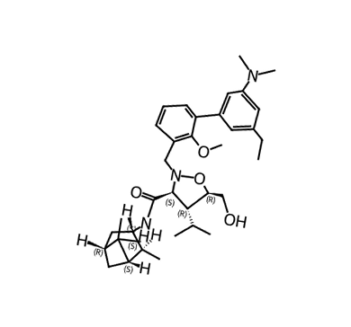 CCc1cc(-c2cccc(CN3O[C@@H](CO)[C@H](C(C)C)[C@H]3C(=O)N[C@H]3C[C@H]4C[C@@H]([C@@H]3C)C4(C)C)c2OC)cc(N(C)C)c1